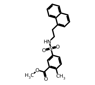 COC(=O)c1cc(S(=O)(=O)NCCc2cccc3ccccc23)ccc1C